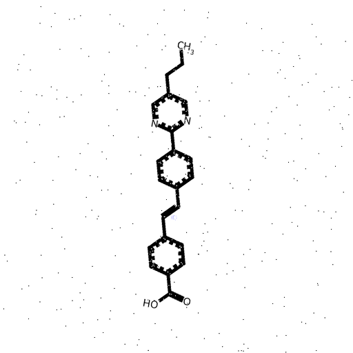 CCCc1cnc(-c2ccc(/C=C/c3ccc(C(=O)O)cc3)cc2)nc1